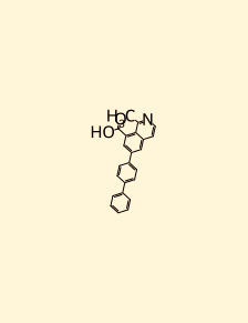 Cc1nccc2cc(-c3ccc(-c4ccccc4)cc3)cc(C(=O)O)c12